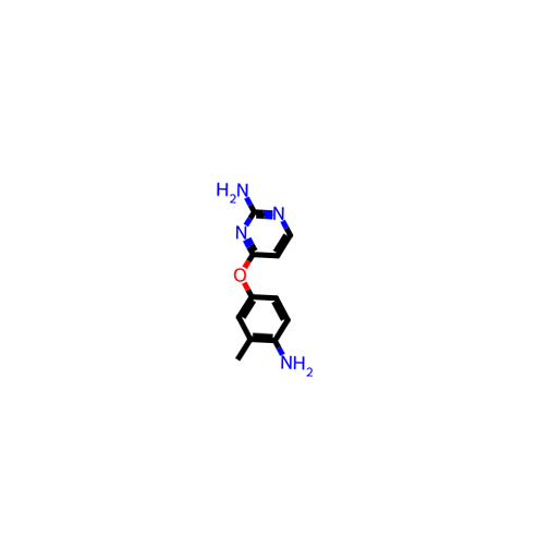 Cc1cc(Oc2ccnc(N)n2)ccc1N